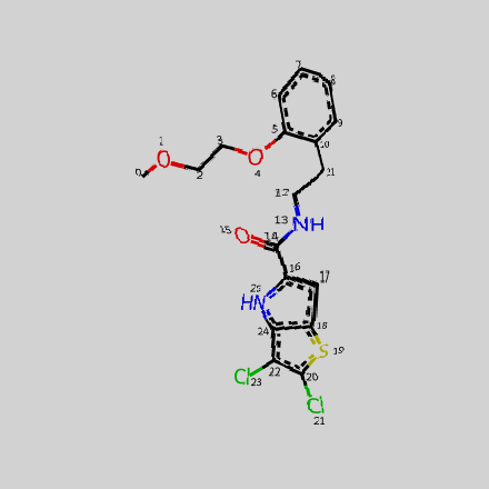 COCCOc1ccccc1CCNC(=O)c1cc2sc(Cl)c(Cl)c2[nH]1